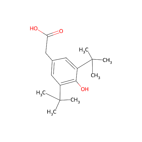 CC(C)(C)c1cc(CC(=O)O)cc(C(C)(C)C)c1O